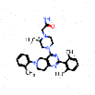 Cc1ccccc1N1CCc2nc(-c3c(C)cccc3C)nc(N3CCN(CC(N)=O)[C@H](C)C3)c2C1